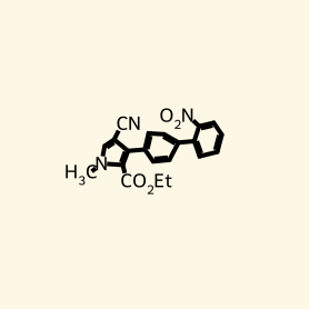 CCOC(=O)c1c(-c2ccc(-c3ccccc3[N+](=O)[O-])cc2)c(C#N)cn1C